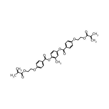 C=C(C)C(=O)OCCOc1ccc(C(=O)Oc2ccc(OC(=O)c3ccc(OCCOC(=O)C(=C)C)cc3)c(C)c2)cc1